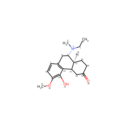 CCN(C)[C@H]1Cc2ccc(OC)c(O)c2C2CC(=O)CC[C@@H]21